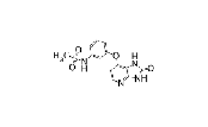 CS(=O)(=O)Nc1cccc(Oc2ccnc3[nH]c(=O)[nH]c23)c1